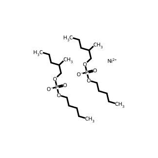 CCCCCOP(=O)([O-])OCC(C)CCC.CCCCCOP(=O)([O-])OCC(C)CCC.[Ni+2]